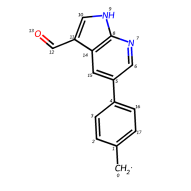 [CH2]c1ccc(-c2cnc3[nH]cc(C=O)c3c2)cc1